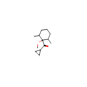 COC1(C(=O)C2CC2)C(C)CCCC1C